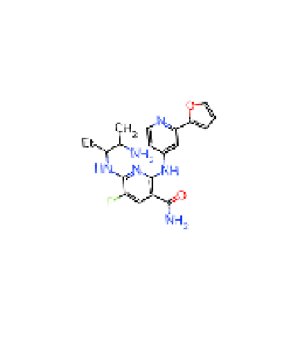 CCC(Nc1nc(Nc2ccnc(-c3ccco3)c2)c(C(N)=O)cc1F)C(C)N